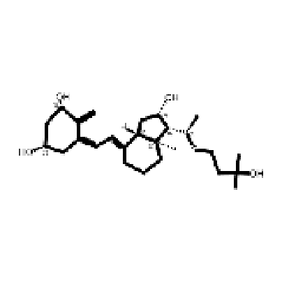 C=C1C(=CC=C2CCC[C@]3(C)[C@@H]([C@@H](C)SCCC(C)(C)O)[C@@H](O)C[C@@H]23)C[C@@H](O)C[C@@H]1O